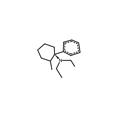 CCN(CC)[C@]1(c2ccccc2)CCCCC1C